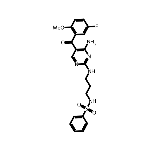 COc1ccc(F)cc1C(=O)c1cnc(NCCCNS(=O)(=O)c2ccccc2)nc1N